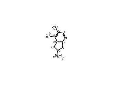 NC1Cc2ccc(Cl)c(Br)c2C1